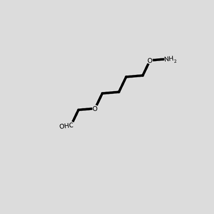 NOCCCCOCC=O